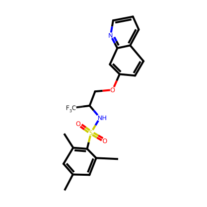 Cc1cc(C)c(S(=O)(=O)NC(COc2ccc3cccnc3c2)C(F)(F)F)c(C)c1